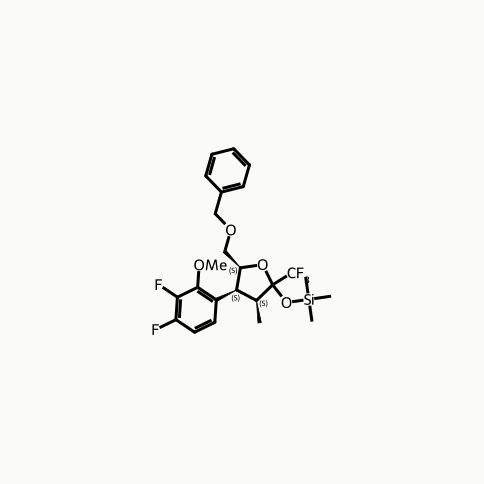 COc1c([C@H]2[C@@H](COCc3ccccc3)OC(O[Si](C)(C)C)(C(F)(F)F)[C@H]2C)ccc(F)c1F